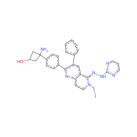 NC1(c2ccc(-c3nc4ccn(CI)/c(=N\Nc5ncccn5)c4cc3-c3ccccc3)cc2)CC(O)C1